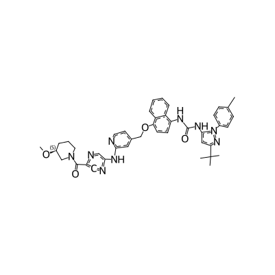 CO[C@H]1CCCN(C(=O)c2cnc(Nc3cc(COc4ccc(NC(=O)Nc5cc(C(C)(C)C)nn5-c5ccc(C)cc5)c5ccccc45)ccn3)cn2)C1